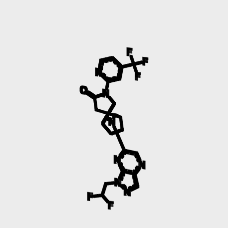 O=C1CC2(CN1c1cc(C(F)(F)F)ccn1)C1CCC2CN(c2cnc3cnn(CC(F)F)c3n2)C1